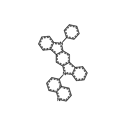 c1ccc(-n2c3ccccc3c3cc4c(cc32)c2ccccc2n4-c2cccc3ncccc23)cc1